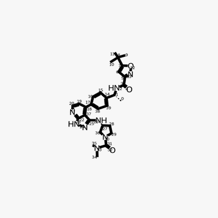 C[C@@H](NC(=O)c1cc(C(C)(C)C)on1)c1ccc(-c2ccnc3[nH]nc(N[C@@H]4CCN(C(=O)N(C)C)C4)c23)cc1